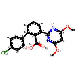 COc1cc(OC)nc(-c2cccc(-c3ccc(Cl)cc3)c2C(=O)O)n1